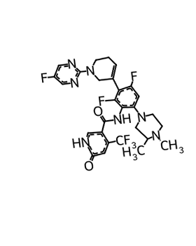 CC1CN(c2cc(F)c(C3=CCCN(c4ncc(F)cn4)C3)c(F)c2NC(=O)c2c[nH]c(=O)cc2C(F)(F)F)CCN1C